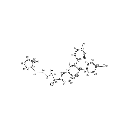 Cc1ccc(-c2nc3cc(C(=O)NCCCc4ncc[nH]4)ccc3nc2-c2ccc(F)cc2)cc1